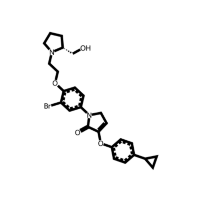 O=C1C(Oc2ccc(C3CC3)cc2)=CCN1c1ccc(OCCN2CCC[C@@H]2CO)c(Br)c1